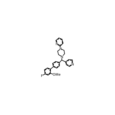 COc1cc(F)ccc1-c1ccc(C(c2ccncc2)N2CCN(c3ccccn3)CC2)cc1